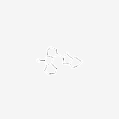 O=C1c2ccccc2-c2c1cccc2-c1cn2ccccc2n1